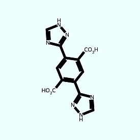 O=C(O)c1cc(-c2nc[nH]n2)c(C(=O)O)cc1-c1nc[nH]n1